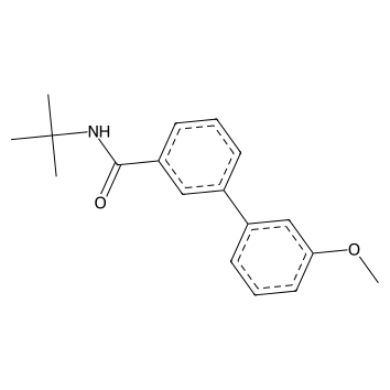 COc1cccc(-c2cccc(C(=O)NC(C)(C)C)c2)c1